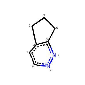 c1cc2c(nn1)CCC2